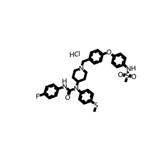 CSc1ccc(N(C(=O)Nc2ccc(F)cc2)C2CCN(Cc3ccc(Oc4ccc(NS(C)(=O)=O)cc4)cc3)CC2)cc1.Cl